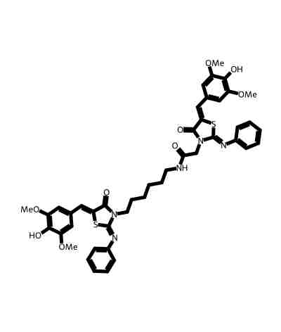 COc1cc(/C=C2\S/C(=N\c3ccccc3)N(CCCCCCNC(=O)CN3C(=O)/C(=C/c4cc(OC)c(O)c(OC)c4)S/C3=N\c3ccccc3)C2=O)cc(OC)c1O